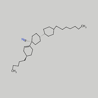 CCCCCCCC1CCC([C@H]2CC[C@](C#N)(C3=CC[C@H](CCCCC)CC3)CC2)CC1